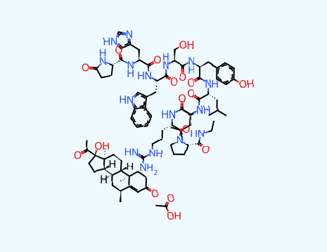 CC(=O)O.CC(=O)[C@@]1(O)CC[C@H]2[C@@H]3C[C@H](C)C4=CC(=O)CC[C@]4(C)[C@H]3CC[C@@]21C.CCNC(=O)[C@@H]1CCCN1C(=O)[C@H](CCCNC(=N)N)NC(=O)[C@H](CC(C)C)NC(=O)[C@@H](CC(C)C)NC(=O)[C@H](Cc1ccc(O)cc1)NC(=O)[C@H](CO)NC(=O)[C@H](Cc1c[nH]c2ccccc12)NC(=O)[C@H](Cc1c[nH]cn1)NC(=O)[C@@H]1CCC(=O)N1